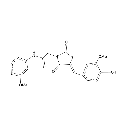 COc1cccc(NC(=O)CN2C(=O)S/C(=C\c3ccc(O)c(OC)c3)C2=O)c1